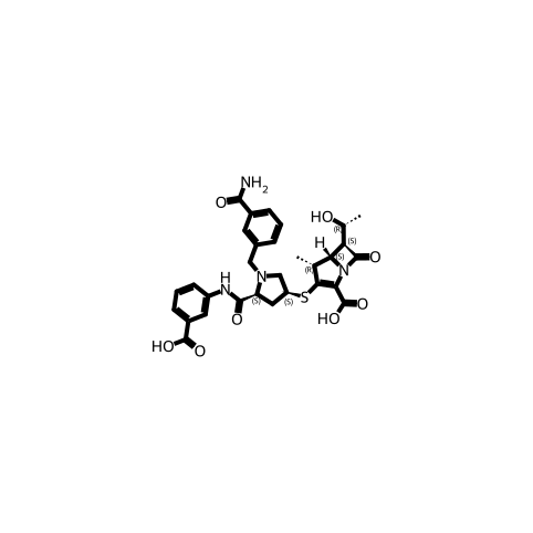 C[C@@H](O)[C@H]1C(=O)N2C(C(=O)O)=C(S[C@H]3C[C@@H](C(=O)Nc4cccc(C(=O)O)c4)N(Cc4cccc(C(N)=O)c4)C3)[C@H](C)[C@H]12